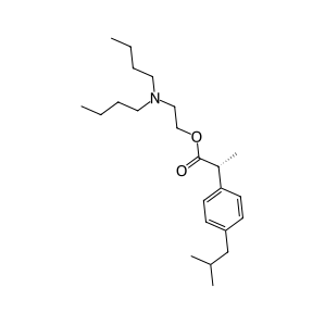 CCCCN(CCCC)CCOC(=O)[C@H](C)c1ccc(CC(C)C)cc1